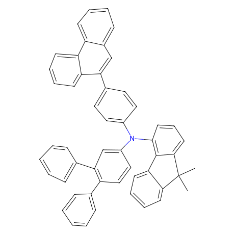 CC1(C)c2ccccc2-c2c(N(c3ccc(-c4cc5ccccc5c5ccccc45)cc3)c3ccc(-c4ccccc4)c(-c4ccccc4)c3)cccc21